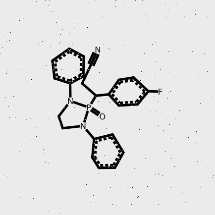 N#CCC(c1ccc(F)cc1)P1(=O)N(c2ccccc2)CCN1c1ccccc1